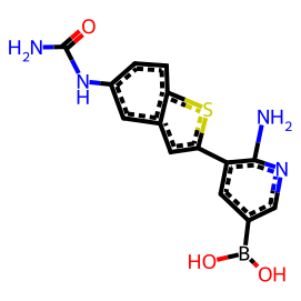 NC(=O)Nc1ccc2sc(-c3cc(B(O)O)cnc3N)cc2c1